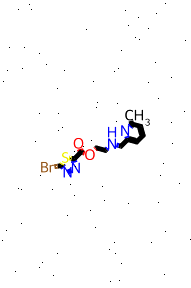 Cc1cccc(CNCCOC(=O)c2nnc(Br)s2)n1